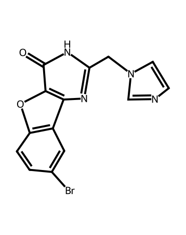 O=c1[nH]c(Cn2ccnc2)nc2c1oc1ccc(Br)cc12